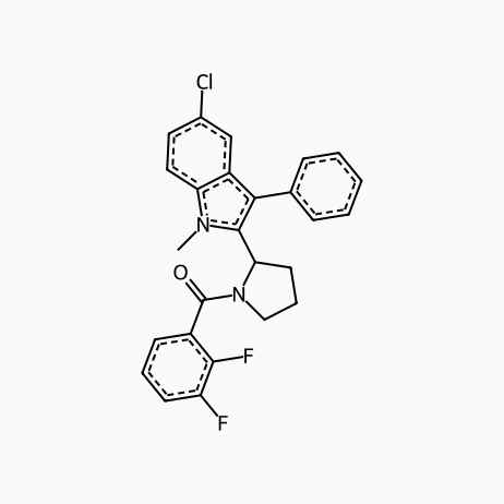 Cn1c(C2CCCN2C(=O)c2cccc(F)c2F)c(-c2ccccc2)c2cc(Cl)ccc21